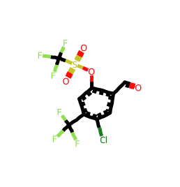 O=Cc1cc(Cl)c(C(F)(F)F)cc1OS(=O)(=O)C(F)(F)F